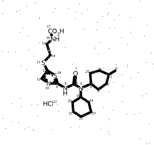 CC1CCC(N(C(=O)Nc2ncc(SCCNC(=O)O)s2)C2CCCCC2)CC1.Cl